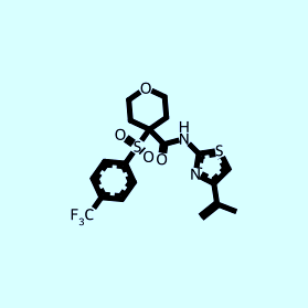 C=C(C)c1csc(NC(=O)C2(S(=O)(=O)c3ccc(C(F)(F)F)cc3)CCOCC2)n1